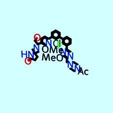 COc1nc(-c2cccc(-c3cccc(-c4cc5c(c(OC)n4)[C@@H](N4CC6(CCC(=O)N6)C4)CO5)c3Cl)c2F)cnc1CN1CCN(C(C)=O)CC1